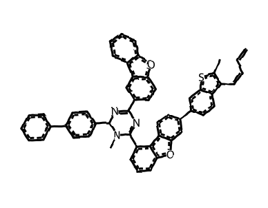 C=C/C=C\c1c(C)sc2cc(-c3ccc4c(c3)oc3cccc(C5=NC(c6ccc7oc8ccccc8c7c6)=NC(c6ccc(-c7ccccc7)cc6)N5C)c34)ccc12